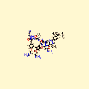 Cc1nc(-c2ccc(C(C)(C)C)cc2)nc(C)c1C(=O)N[C@@H](CCN)C(=O)N(C)[C@@H]1C(=O)N[C@@H](C)C(=O)N[C@H](C(=O)NCC#N)Cc2ccc(OCCN)c(c2)-c2cc1ccc2OCCN